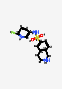 O=S(=O)(Nc1ccc(F)nc1)c1ccc2c(c1)CCNC2